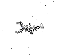 C[C@@H]1S[C@@H]2[C@H](NC(=O)/C(=N\OC(C)(C)C(=O)O)c3csc(N)n3)C(=O)N2C(C(=O)O)=C1C[N+]1(CCn2oc3cc(O)c(O)cc3c2=O)CCCC1